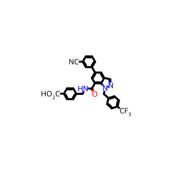 N#Cc1cccc(-c2cc(C(=O)NCc3ccc(C(=O)O)cc3)c3c(cnn3Cc3ccc(C(F)(F)F)cc3)c2)c1